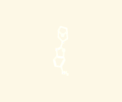 Nc1ccc2nc(N3CC4CCC(C3)O4)oc2c1